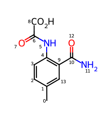 Cc1ccc(NC(=O)C(=O)O)c(C(N)=O)c1